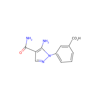 NC(=O)c1cnn(-c2cccc(C(=O)O)c2)c1N